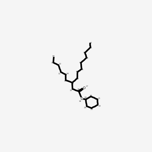 CCCCCCCCC(CCCCCC)CC(=O)OC1CCCCC1